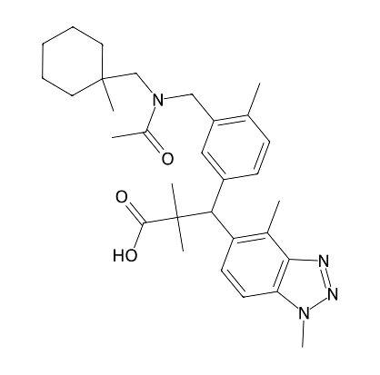 CC(=O)N(Cc1cc(C(c2ccc3c(nnn3C)c2C)C(C)(C)C(=O)O)ccc1C)CC1(C)CCCCC1